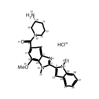 CCn1c(-c2nc3cc(C(=O)N4CCC[C@@H](N)C4)cc(OC)c3n2C)cc2ccccc21.Cl